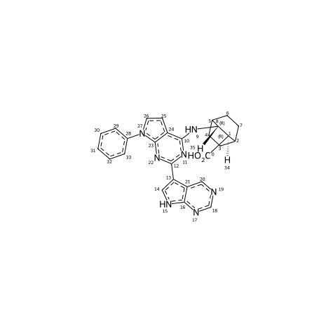 O=C(O)[C@@H]1C2CCC(CC2)[C@H]1Nc1nc(-c2c[nH]c3ncncc23)nc2c1ccn2-c1ccccc1